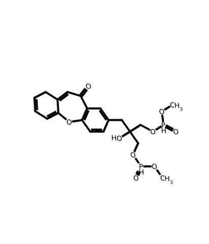 CO[PH](=O)OCC(O)(CO[PH](=O)OC)Cc1ccc2c(c1)C(=O)C=C1CC=CC=C1O2